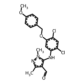 COc1ccc(COc2cc(Nc3c(C=O)c(C)nn3C)c(Cl)cc2Cl)cc1